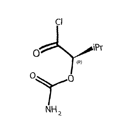 CC(C)[C@@H](OC(N)=O)C(=O)Cl